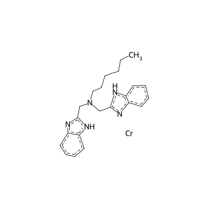 CCCCCCN(Cc1nc2ccccc2[nH]1)Cc1nc2ccccc2[nH]1.[Cr]